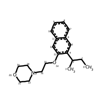 CCC(C)c1cc2ccccc2cc1OCCN1CCOCC1